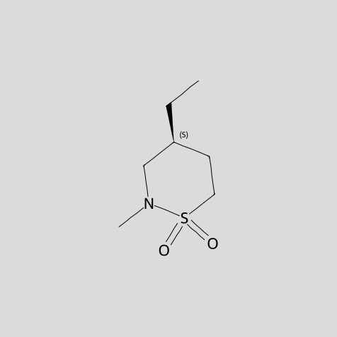 CC[C@H]1CCS(=O)(=O)N(C)C1